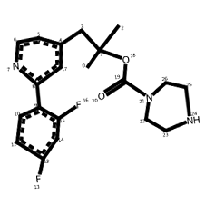 CC(C)(Cc1ccnc(-c2ccc(F)cc2F)c1)OC(=O)N1CCNCC1